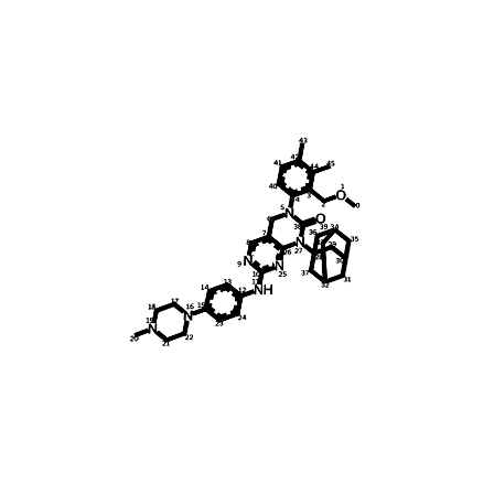 COCc1c(N2Cc3cnc(Nc4ccc(N5CCN(C)CC5)cc4)nc3N(C34CC5CC(CC(C5)C3)C4)C2=O)ccc(C)c1C